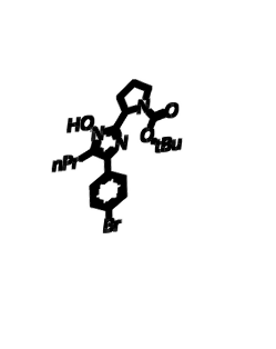 CCCc1c(-c2ccc(Br)cc2)nc(C2CCCN2C(=O)OC(C)(C)C)n1O